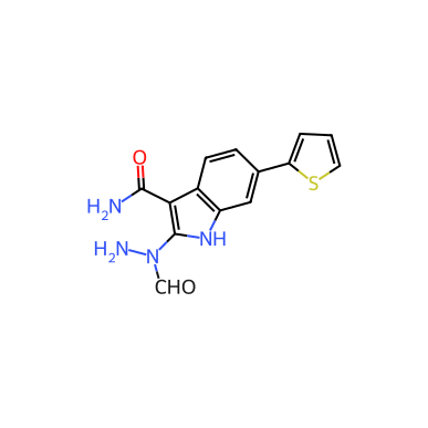 NC(=O)c1c(N(N)C=O)[nH]c2cc(-c3cccs3)ccc12